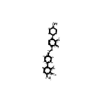 CCCC1CCC(c2ccc(COc3ccc(-c4ccc(C)c(F)c4F)cc3)c(F)c2F)CC1